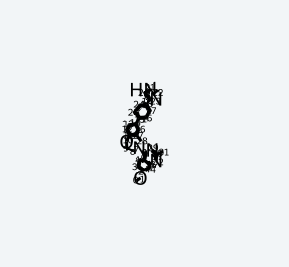 COc1ccc2c(N3CCOc4ccc(-c5ccc(-c6c[nH]cn6)cc5)cc4C3)nc(C)nc2c1